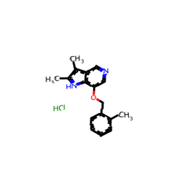 Cc1ccccc1COc1cncc2c(C)c(C)[nH]c12.Cl